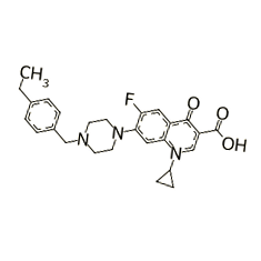 CCc1ccc(CN2CCN(c3cc4c(cc3F)c(=O)c(C(=O)O)cn4C3CC3)CC2)cc1